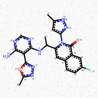 Cc1cc(-n2c(C(C)Nc3ncnc(N)c3-c3nnc(C)o3)cc3ccc(F)cc3c2=O)n[nH]1